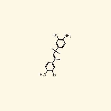 C/C(=C\C(C)(C)c1ccc(N)c(Br)c1)c1ccc(N)c(Br)c1